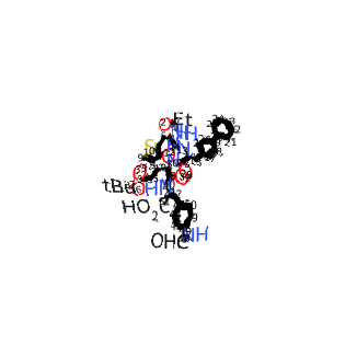 CCC(=O)N[C@H](Cc1cccs1)C(=O)N[C@@H](Cc1ccc(-c2ccccc2)cc1)C(=O)N[C@H](CCC(=O)OC(C)(C)C)C(=O)N[C@@H](Cc1ccc(NC=O)cc1)C(=O)O